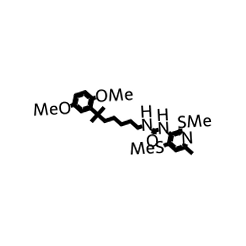 COc1ccc(OC)c(C(C)(C)CCCCCNC(=O)Nc2c(SC)cc(C)nc2SC)c1